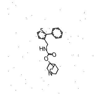 O=C(NCc1ccsc1-c1ccccc1)OC1CN2CCC1CC2